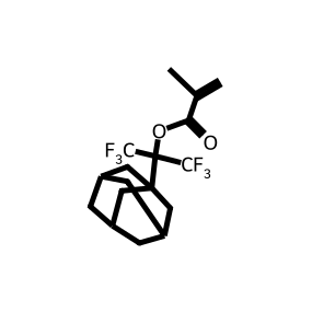 C=C(C)C(=O)OC(C(F)(F)F)(C(F)(F)F)C12CC3CC(CC(C3)C1)C2